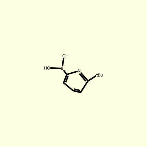 CC(C)(C)c1cccc(B(O)O)n1